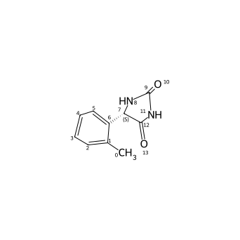 Cc1ccccc1[C@@H]1NC(=O)NC1=O